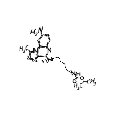 Cc1nnc2c(NCCCCNC(=O)OC(C)C)nc3ccc(N)cc3n12